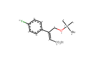 CCOC(=O)C=C(CO[Si](C)(C)C(C)(C)C)c1ccc(F)cc1